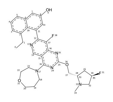 CCc1cccc2cc(O)cc(-c3ncc4c(N5CCCOCC5)nc(OC[C@@H]5C[C@@H](F)CN5C)nc4c3F)c12